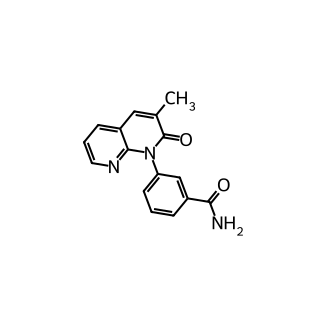 Cc1cc2cccnc2n(-c2cccc(C(N)=O)c2)c1=O